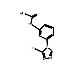 CCCC(=S)Nc1cccc(-n2nnnc2S)c1